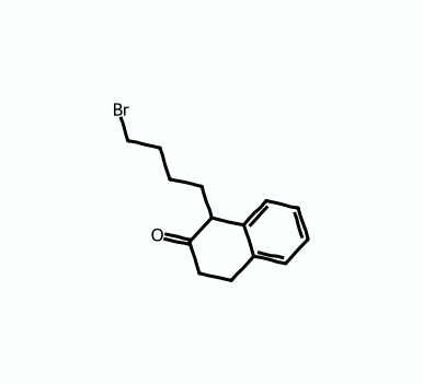 O=C1CCc2ccccc2C1CCCCBr